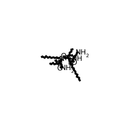 CCCCCCCCCCCCN(CC(=O)N(CC(=O)N(CCCCCCCCCCCC)CC(=O)N(CC(N)=O)CC(CC)CCCC)CC(CC)CCCC)C(=O)CNCCCN